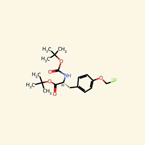 CC(C)(C)OC(=O)N[C@H](Cc1ccc(OC[19F])cc1)C(=O)OC(C)(C)C